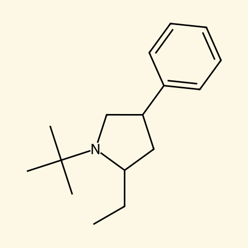 CCC1CC(c2ccccc2)CN1C(C)(C)C